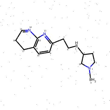 BN1CCC(BCCc2ccc3c(n2)N=CCC3)C1